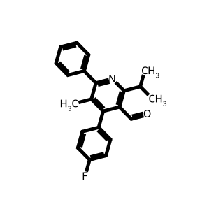 Cc1c(-c2ccccc2)nc(C(C)C)c(C=O)c1-c1ccc(F)cc1